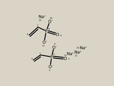 C=CP(=O)([O-])[O-].C=CP(=O)([O-])[O-].[Na+].[Na+].[Na+].[Na+]